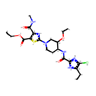 CCOC(=O)c1sc(N2CCC(NC(=O)c3nc(Cl)c(CC)[nH]3)C(OCC)C2)nc1C(=O)NC